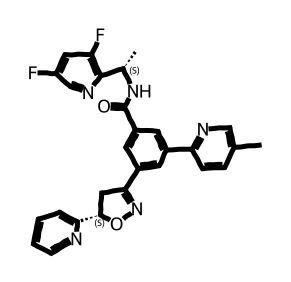 Cc1ccc(-c2cc(C(=O)N[C@@H](C)c3ncc(F)cc3F)cc(C3=NO[C@H](c4ccccn4)C3)c2)nc1